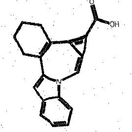 O=C(O)C1=C2C1=Cn1c(cc3ccccc31)C1=C2CCCC1